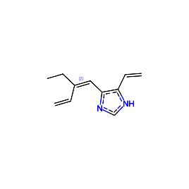 C=C/C(=C\c1nc[nH]c1C=C)CC